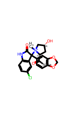 CNC(=O)[C@@H]1C[C@@H](O)C[N+]1(C)C1(c2ccc3c(c2)OCO3)C(=O)Nc2ccc(Cl)cc21